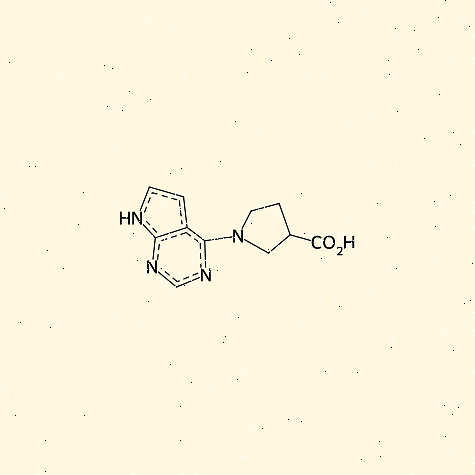 O=C(O)C1CCN(c2ncnc3[nH]ccc23)C1